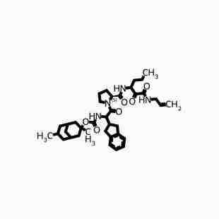 C=CCNC(=O)C(=O)C(CCC)NC(=O)[C@@H]1CCCN1C(=O)C(NC(=O)OC1(C)CC2CC(C)CC(C2)C1)C1Cc2ccccc2C1